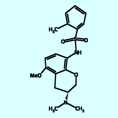 COc1ccc(NS(=O)(=O)c2ccccc2C)c2c1C[C@@H](N(C)C)CO2